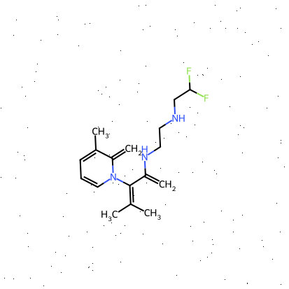 C=C(NCCNCC(F)F)C(=C(C)C)N1C=CC=C(C)C1=C